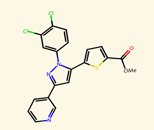 COC(=O)c1ccc(-c2cc(-c3cccnc3)nn2-c2ccc(Cl)c(Cl)c2)s1